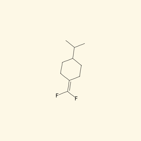 CC(C)C1CCC(=C(F)F)CC1